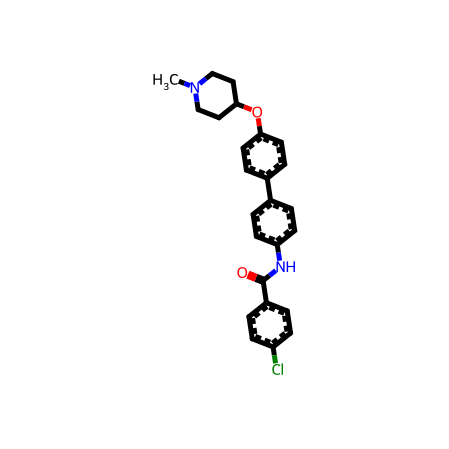 CN1CCC(Oc2ccc(-c3ccc(NC(=O)c4ccc(Cl)cc4)cc3)cc2)CC1